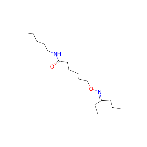 CCCCCNC(=O)CCCCCO/N=C(\CC)CCC